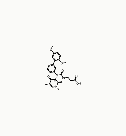 COc1ccc(OC)c(-c2cccc(N(C(=O)NCCC(=O)O)[C@H]3C(=O)C(C)=CN(C)C3=O)c2)c1